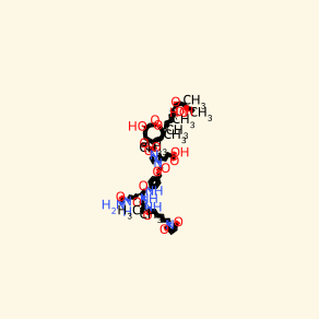 CC[C@H](O)[C@@H](C)[C@H]1O[C@@H]1C[C@@](C)(O)/C=C/C=C(\C)[C@H]1OC(=O)C[C@H](O)CC[C@@](C)(OC)[C@@H](OC(=O)N2CCN(C(=O)OCc3ccc(NC(=O)[C@H](CCCNC(N)=O)NC(=O)[C@@H](NC(=O)CCCCCN4C(=O)C=CC4=O)C(C)C)cc3)C(CCC(=O)O)C2)/C=C/[C@@H]1C